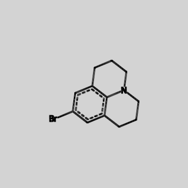 Brc1cc2c3c(c1)CCCN3CCC2